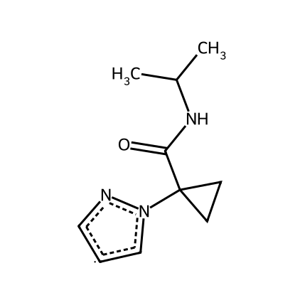 CC(C)NC(=O)C1(n2c[c]cn2)CC1